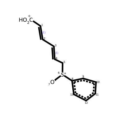 O=C(O)/C=C/C=C/C[S+]([O-])c1ccccc1